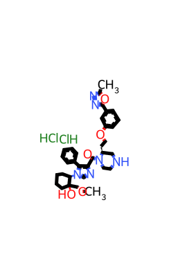 COC[C@]1(O)CCCC[C@H]1n1cnc(C(=O)N2CCNC[C@H]2CCOc2cccc(-c3nnc(C)o3)c2)c1-c1ccccc1.Cl.Cl